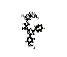 CC(C)(C)OC(=O)N1CC(Nc2nc(-c3ccc(N)cc3)nc(N3CC4CCC(C3)O4)n2)C1